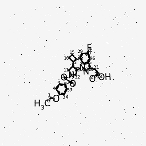 CCOc1ccc(S(=O)(=O)N2CC(C3CCC3)[C@@H](n3nc(CC(=O)O)c4cc(F)ccc43)C2)cc1